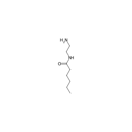 [CH2]CCC[CH]C(=O)NCCN